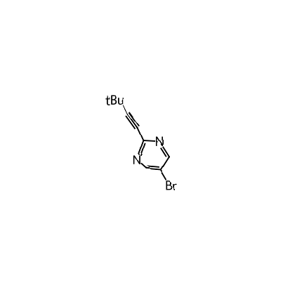 CC(C)(C)C#Cc1ncc(Br)cn1